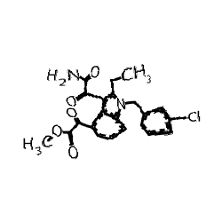 CCc1c(C(=O)C(N)=O)c2c(C(=O)C(=O)OC)cccc2n1Cc1cccc(Cl)c1